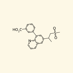 CC(CS(C)(=O)=O)c1cc(-c2cccc(C(=O)O)c2)c2ncccc2c1